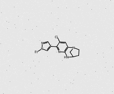 CCn1cc(-c2nc3c(cc2Cl)N2CCC(C2)N3)cn1